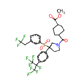 COC(=O)C1CCC(C(=O)N2CCC(c3ccc(C(F)(C(F)(F)F)C(F)(F)F)cc3)(S(=O)(=O)c3cccc(CC(F)(F)F)c3)C2)CC1